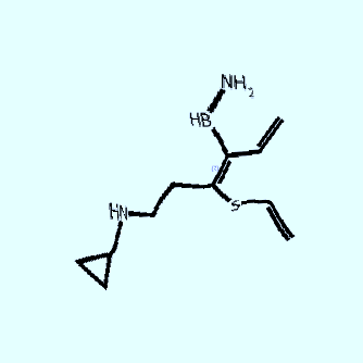 C=CS/C(CCNC1CC1)=C(/BN)C=C